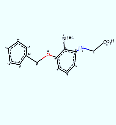 CC(=O)Nc1c(NCC(=O)O)cccc1OCc1ccccc1